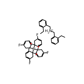 CCc1ccccc1C[NH2+]Cc1ccccc1CC.FC1=CC=CC(F)([B-](C2(F)C=CC=C(F)C2)(C2(F)C=CC=C(F)C2)C2(F)C=CC=C(F)C2)C1